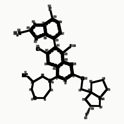 N#CC1COCCN(c2nc(OCC34CCCN3C[C@H](F)C4)nc3c(F)c(-c4ccc(F)c5sc(N)nc45)c(Cl)cc23)C1